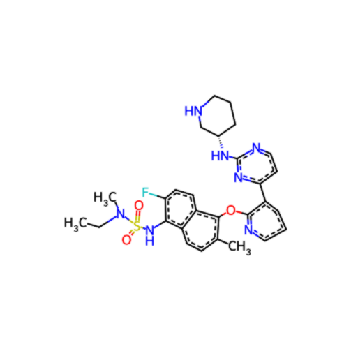 CCN(C)S(=O)(=O)Nc1c(F)ccc2c(Oc3ncccc3-c3ccnc(N[C@H]4CCCNC4)n3)c(C)ccc12